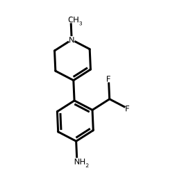 CN1CC=C(c2ccc(N)cc2C(F)F)CC1